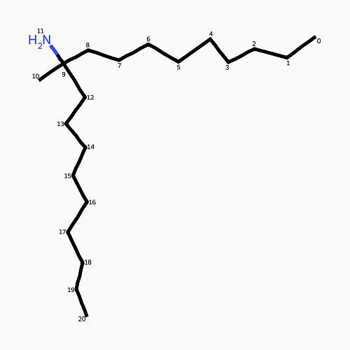 CCCCCCCCCC(C)(N)CCCCCCCCC